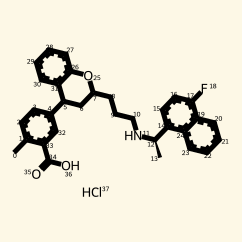 Cc1ccc(C2CC(CCCN[C@H](C)c3ccc(F)c4ccccc34)Oc3ccccc32)cc1C(=O)O.Cl